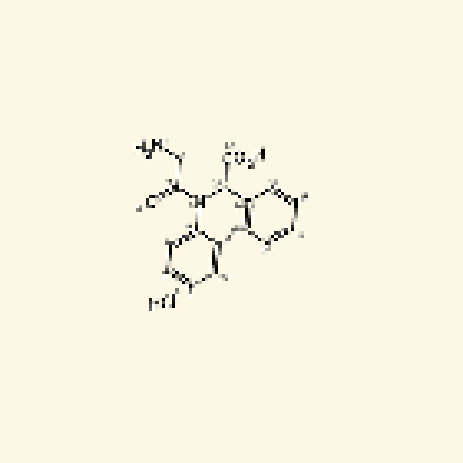 Cl.NCC(=O)N(c1ccccc1)[C@H](C(=O)O)c1ccccc1